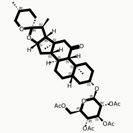 CC(=O)OC[C@H]1O[C@@H](O[C@H]2CC[C@@]3(C)[C@@H](CC[C@H]4[C@@H]5C[C@@H]6O[C@]7(CC[C@@H](C)CO7)[C@@H](C)[C@@H]6[C@@]5(C)CC(=O)[C@@H]43)C2)[C@H](OC(C)=O)[C@@H](OC(C)=O)[C@@H]1OC(C)=O